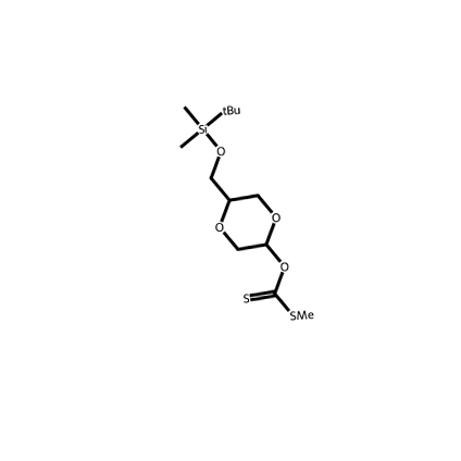 C[SH2]C(=S)OC1COC(CO[Si](C)(C)C(C)(C)C)CO1